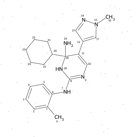 Cc1ccccc1NC1=NC=C(c2cnn(C)c2)C(N)(C2CCCCC2)N1